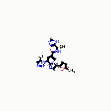 CCc1cnnn1-c1cc(C(=O)N[C@@H](C)c2nnc[nH]2)cn2c(-c3ccc(C)o3)cnc12